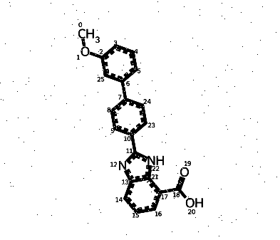 COc1cccc(-c2ccc(-c3nc4cccc(C(=O)O)c4[nH]3)cc2)c1